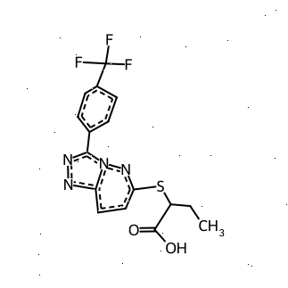 CCC(Sc1ccc2nnc(-c3ccc(C(F)(F)F)cc3)n2n1)C(=O)O